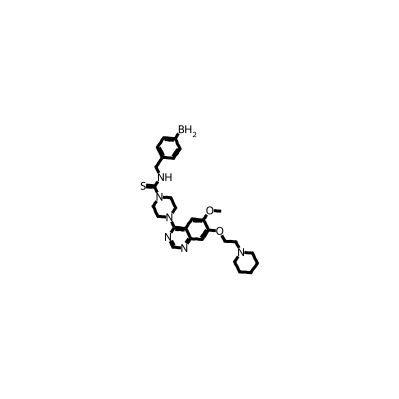 Bc1ccc(CNC(=S)N2CCN(c3ncnc4cc(OCCN5CCCCC5)c(OC)cc34)CC2)cc1